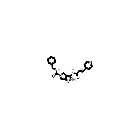 O=C(/C=C/c1ccncc1)Nc1[nH]nc2c1CN(C(=O)NCc1ccccc1)C2